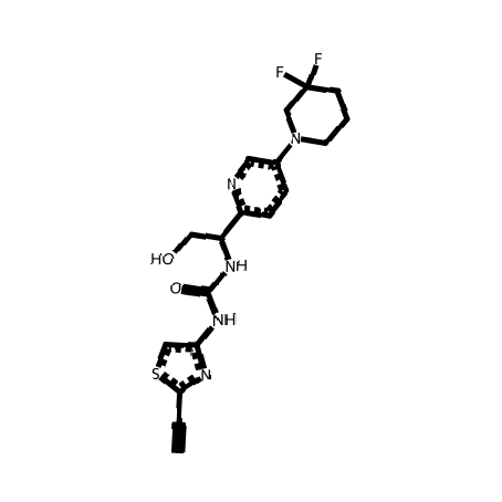 C#Cc1nc(NC(=O)NC(CO)c2ccc(N3CCCC(F)(F)C3)cn2)cs1